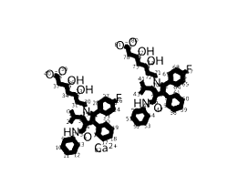 CC(C)c1c(C(=O)Nc2ccccc2)c(-c2ccccc2)c(-c2ccc(F)cc2)n1CCC(O)C[C@@H](O)CC(=O)[O-].CC(C)c1c(C(=O)Nc2ccccc2)c(-c2ccccc2)c(-c2ccc(F)cc2)n1CCC(O)C[C@@H](O)CC(=O)[O-].[Ca+2]